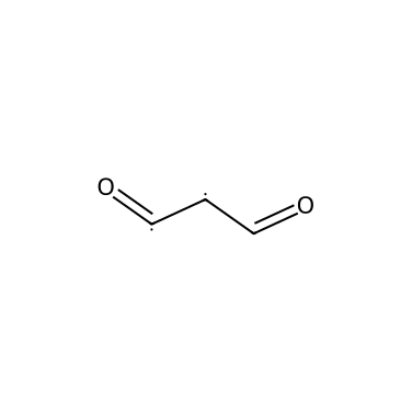 O=[C][CH]C=O